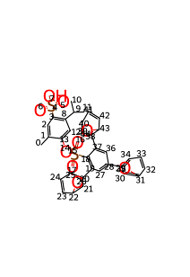 Cc1cc(S(=O)(=O)O)c(C(C)C)cc1OS(=O)(=O)c1c(-c2cc3ccc2o3)cc(-c2cc3ccc2o3)cc1-c1cc2ccc1o2